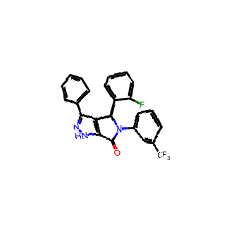 O=C1c2[nH]nc(-c3ccccc3)c2C(c2ccccc2F)N1c1cccc(C(F)(F)F)c1